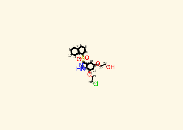 O=S(=O)(c1cccc2ccccc12)c1n[nH]c2c(OCCCl)cc(OCCO)cc12